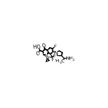 CC(N)C1CCN(c2c(F)cc3c(=O)c(C(=O)O)cn(C4CC4)c3c2C(F)(F)F)C1